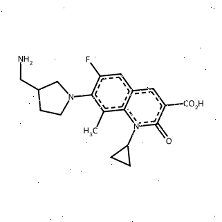 Cc1c(N2CCC(CN)C2)c(F)cc2cc(C(=O)O)c(=O)n(C3CC3)c12